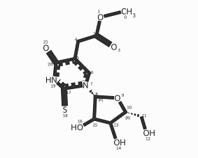 COC(=O)Cc1cn([C@@H]2O[C@H](CO)C(O)C2O)c(=S)[nH]c1=O